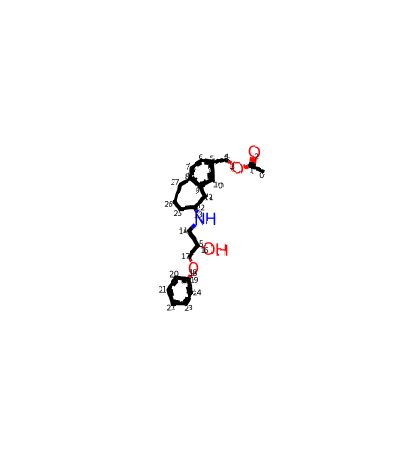 CC(=O)OCc1ccc2c(c1)CC(NC[C@H](O)COc1ccccc1)CCC2